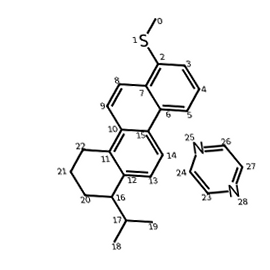 CSc1cccc2c1ccc1c3c(ccc12)C(C(C)C)CCC3.c1cnccn1